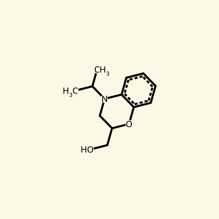 CC(C)N1CC(CO)Oc2ccccc21